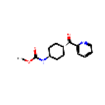 CC(C)(C)OC(=O)N[C@H]1CC[C@H](C(=O)c2ccccn2)CC1